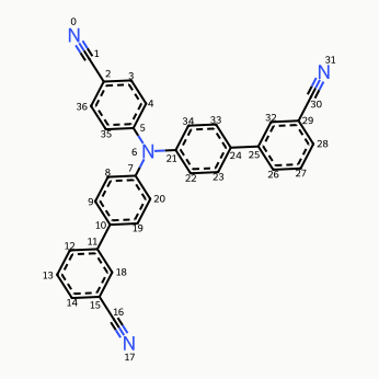 N#Cc1ccc(N(c2ccc(-c3cccc(C#N)c3)cc2)c2ccc(-c3cccc(C#N)c3)cc2)cc1